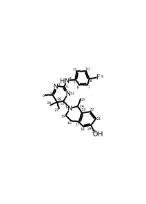 CC1=NC(Nc2ccc(F)cc2)=NC(N2CCc3cc(O)ccc3C2C)C1(C)C